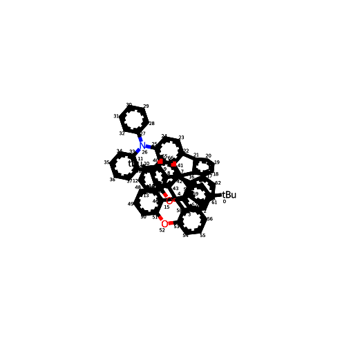 CC(C)(C)c1ccc2c(c1)C1(c3cc(C(C)(C)C)ccc3O2)c2ccccc2-c2ccc(N(c3ccccc3)c3ccccc3-c3ccc4c(c3)C3(c5ccccc5Oc5ccccc53)c3ccccc3-4)cc21